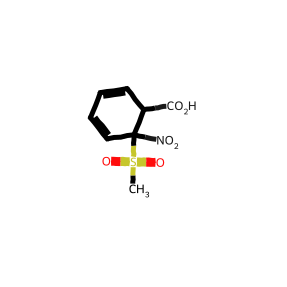 CS(=O)(=O)C1([N+](=O)[O-])C=CC=CC1C(=O)O